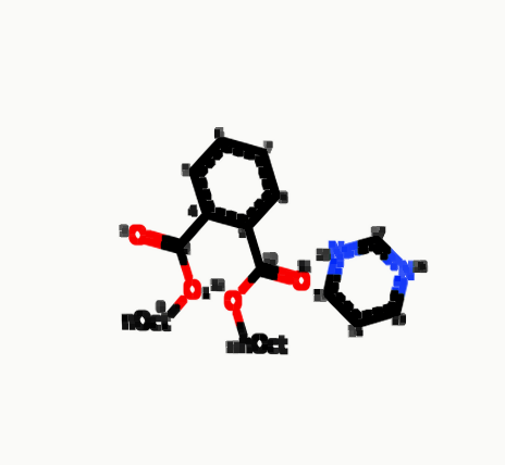 CCCCCCCCOC(=O)c1ccccc1C(=O)OCCCCCCCC.c1cncnc1